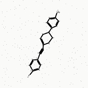 CCCc1ccc(C2CC=C(C#Cc3ccc(F)cc3)CC2)cc1